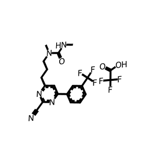 CNC(=O)N(C)CCCc1cc(-c2cccc(C(F)(F)F)c2)nc(C#N)n1.O=C(O)C(F)(F)F